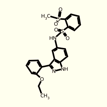 CCOc1ccccc1-c1n[nH]c2ccc(NS(=O)(=O)c3ccccc3S(C)(=O)=O)cc12